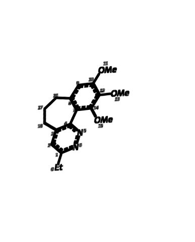 CCc1cc2c(nn1)-c1c(cc(OC)c(OC)c1OC)CCC2